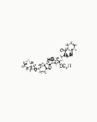 O=C(CC(CCn1nnc2ccccc2c1=O)(C(=O)O)C(=O)O)c1cc2cc(OCC3(F)CCOCC3)ccc2o1